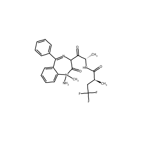 C[C@H](NC(=O)[C@@H](C)CC(F)(F)F)C(=O)C1N=C(c2ccccc2)c2ccccc2[N+](C)(N)C1=O